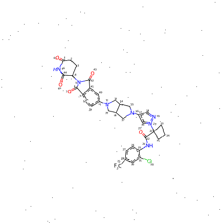 O=C1CCC(N2C(=O)c3ccc(N4CC5CN(c6cnn(C7(C(=O)Nc8ccc(C(F)(F)F)cc8Cl)CCC7)c6)CC5C4)cc3C2=O)C(=O)N1